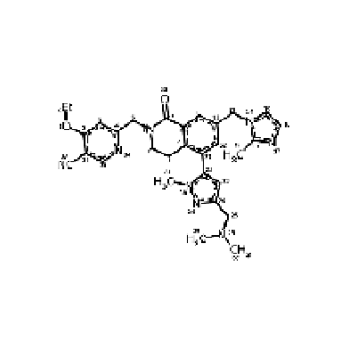 CCOc1cc(CN2CCc3c(cc(Cn4ccnc4C)cc3-c3cc(CN(C)C)nn3C)C2=O)ncc1C#N